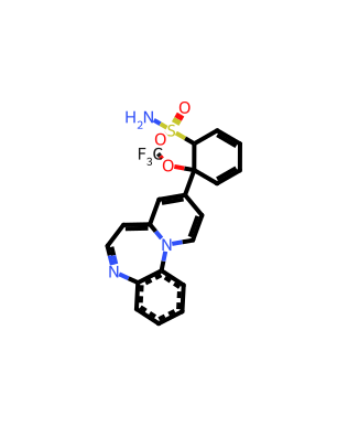 NS(=O)(=O)C1C=CC=CC1(OC(F)(F)F)C1=CC2=CC=Nc3ccccc3N2C=C1